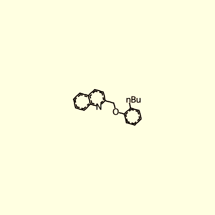 CCCCc1ccccc1OCc1ccc2ccccc2n1